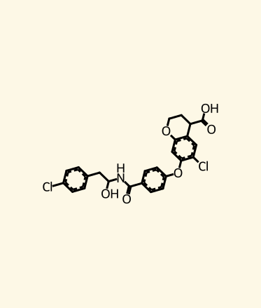 O=C(NC(O)Cc1ccc(Cl)cc1)c1ccc(Oc2cc3c(cc2Cl)C(C(=O)O)CCO3)cc1